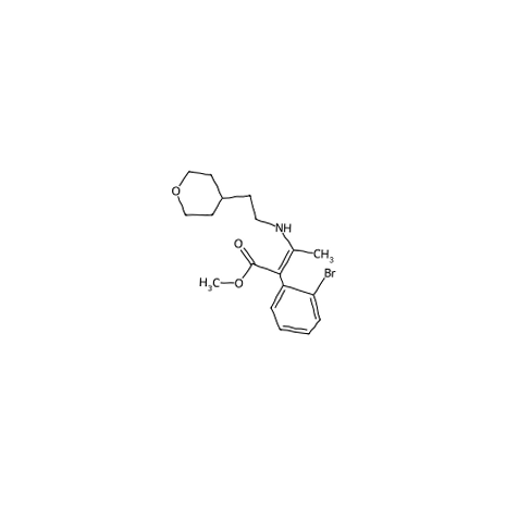 COC(=O)C(=C(C)NCCC1CCOCC1)c1ccccc1Br